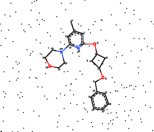 Cc1cc(OC2CC(OCc3ccccc3)C2)nc(N2CCOCC2)c1